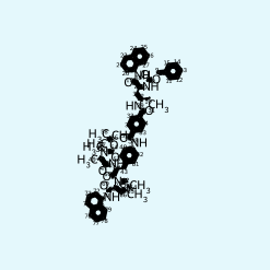 CC[C@H](C[C@H](NC(=O)OCc1ccccc1)C(=O)N[C@@H]1CCCc2ccccc21)NC(=O)c1ccc(C(=O)Nc2ccc(C[C@H](NC(=O)[C@H](C)N(C)C(=O)OC(C)(C)C)C(=O)N3C[Si](C)(C)C[C@H]3C(=O)N[C@@H]3CCCc4ccccc43)cc2)cc1